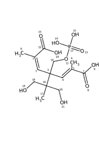 CC(=CC(C=C(C)C(=O)O)(COP(=O)(O)O)C(C)(CO)CO)C(=O)O